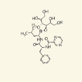 CC(C)C[C@H](NC(=O)[C@H](Cc1ccccc1)NC(=O)c1cnccn1)B1O[C@H]([C@@H](O)CO)[C@@H]([C@@H](O)CO)O1